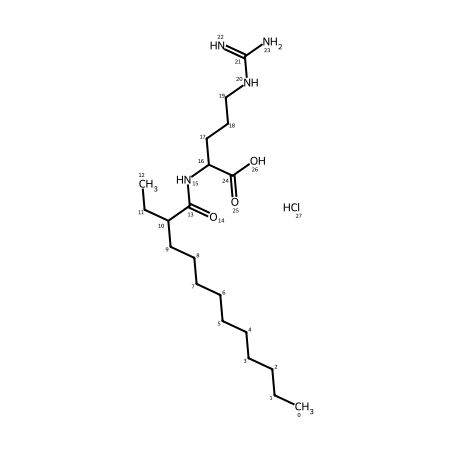 CCCCCCCCCCC(CC)C(=O)NC(CCCNC(=N)N)C(=O)O.Cl